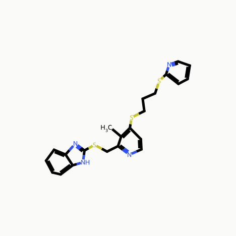 Cc1c(SCCCSc2ccccn2)ccnc1CSc1nc2ccccc2[nH]1